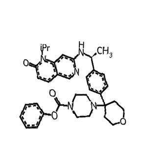 CC(C)n1c(=O)ccc2cnc(N[C@@H](C)c3ccc(C4(N5CCN(C(=O)Oc6ccccc6)CC5)CCOCC4)cc3)cc21